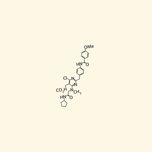 COc1ccc(C(=O)Nc2ccc(Cc3nc(Cl)c(CC(=O)O)c(N(C)CC(=O)NC4CCCC4)n3)cc2)cc1